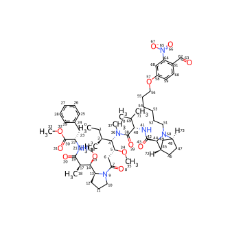 CC[C@H](C)[C@@H]([C@@H](CC(=O)N1CCC[C@H]1[C@H](OC)[C@@H](C)C(=O)N[C@@H](Cc1ccccc1)C(=O)OC)OC)N(C)C(=O)[C@@H](NC(=O)[C@@H]1[C@H]2CC[C@@H](C2)N1CCCCCCOc1ccc(C=O)c([N+](=O)[O-])c1)C(C)C